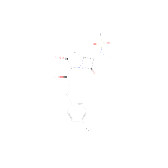 CN(C1C(=O)N2C(C(=O)OCc3ccc([N+](=O)[O-])cc3)C(=O)CC12)S(C)(=O)=O